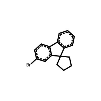 Brc1ccc2c(c1)C1(CCCC1)c1ccccc1-2